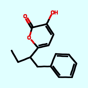 CCC(Cc1ccccc1)c1ccc(O)c(=O)o1